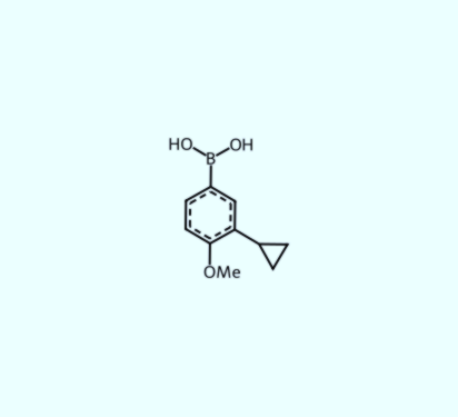 COc1ccc(B(O)O)cc1C1CC1